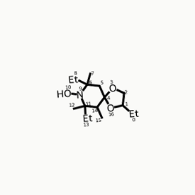 CCC1COC2(CC(C)(CC)N(O)C(C)(CC)C2C)O1